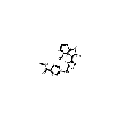 CNC(=O)c1ccc(Nc2nc(-c3c(C)nc4cccc(Cl)n34)cs2)cc1